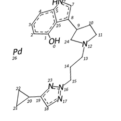 Oc1cccc2[nH]cc(C3CCN(CCCn4ncc(C5CC5)n4)C3)c12.[Pd]